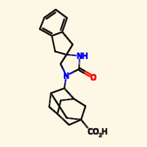 O=C1NC2(Cc3ccccc3C2)CN1C1C2CC3CC1CC(C(=O)O)(C3)C2